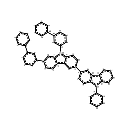 c1ccc(-c2cccc(-c3ccc4c5cc(-c6ccc7c(c6)c6ccccc6n7-c6ccccc6)ccc5n(-c5cccc(-c6ccccc6)c5)c4c3)c2)cc1